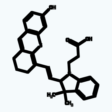 CC1(C)c2ccccc2N(CCC(=O)O)C1C=CC1=C2Sc3cc(O)ccc3C=C2CCC1